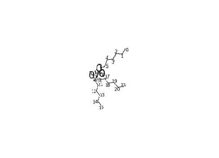 CCCCCC[O][V](=[O])(=[O])([CH2]CCCCC)[CH2]CCCCC